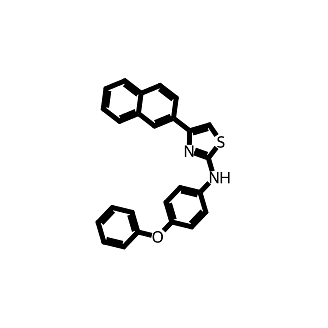 c1ccc(Oc2ccc(Nc3nc(-c4ccc5ccccc5c4)cs3)cc2)cc1